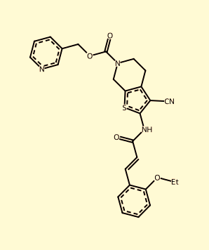 CCOc1ccccc1C=CC(=O)Nc1sc2c(c1C#N)CCN(C(=O)OCc1cccnc1)C2